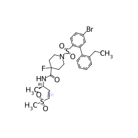 CCc1ccccc1-c1cc(Br)ccc1S(=O)(=O)N1CCC(F)(C(=O)N[C@H](C)/C=C\S(C)(=O)=O)CC1